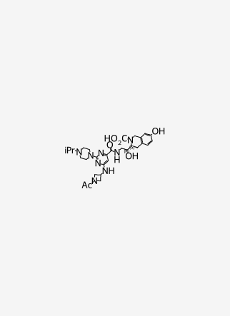 CC(=O)N1CC(Nc2cc(C(=O)NC[C@@H](O)[C@@H]3Cc4ccc(O)cc4CN3C(=O)O)nc(N3CCN(C(C)C)CC3)n2)C1